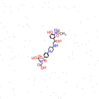 CS(=O)(=O)Nc1cc([C@H](O)CNC2CCN(c3ccc(S(=O)(=O)N(CC(=O)O)CC(=O)O)cc3)CC2)ccc1O